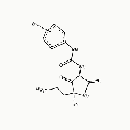 CC(C)C1(CCC(=O)O)NC(=O)C(NC(=O)Nc2ccc(Br)cc2)C1=O